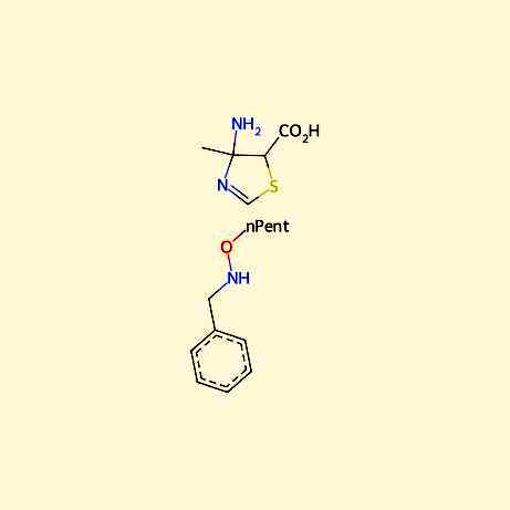 CC1(N)N=CSC1C(=O)O.CCCCCONCc1ccccc1